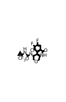 CN(C(=O)NC1(C(F)(F)F)CC1)[C@H]1COCc2[nH]c(=O)c3cc(F)c(F)cc3c21